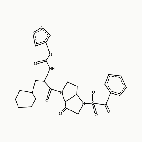 O=C(NC(CC1CCCCC1)C(=O)N1CCC2C1C(=O)CN2S(=O)(=O)C(=O)c1ccccn1)Oc1ccsc1